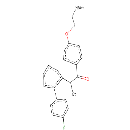 CCC(C(=O)c1ccc(OCCNC)cc1)c1ccccc1-c1ccc(F)cc1